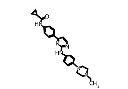 CCN1CCN(c2ccc(Nc3nccc(-c4ccc(NC(=O)C5CC5)cc4)n3)cc2)CC1